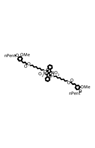 CCCCCOc1ccc(/C=C/C(=O)OCCCCCCCCOC(=O)C(C(=O)OCCCCCCCCOC(=O)/C=C/c2ccc(OCCCCC)c(OC)c2)(C(c2ccccc2)[N+](=O)[O-])C(c2ccccc2)[N+](=O)[O-])cc1OC